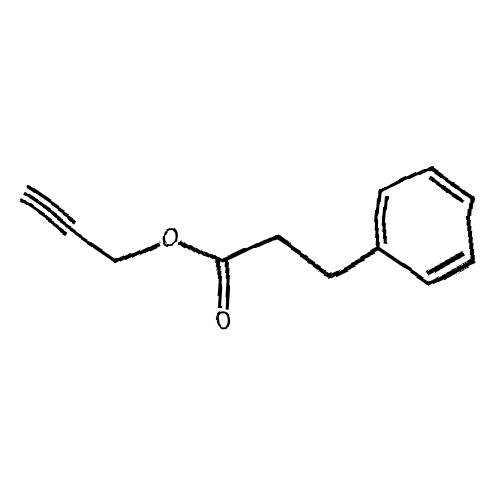 C#CCOC(=O)CCc1ccccc1